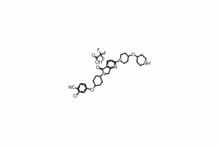 N#Cc1ccc(OC2CCC(N3Cc4nc(N5CCC(OC6CCNCC6)CC5)ccc4C3=O)CC2)cc1Cl.O=C(O)C(F)(F)F